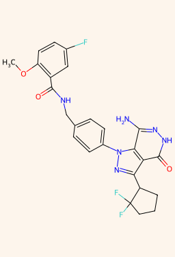 COc1ccc(F)cc1C(=O)NCc1ccc(-n2nc(C3CCCC3(F)F)c3c(=O)[nH]nc(N)c32)cc1